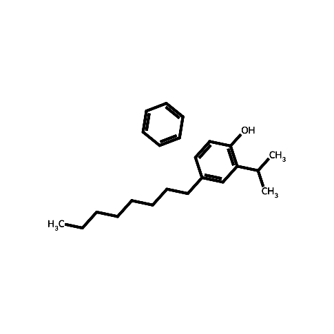 CCCCCCCCc1ccc(O)c(C(C)C)c1.c1ccccc1